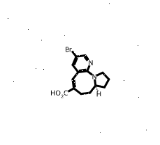 O=C(O)/C1=C/c2cc(Br)cnc2N2CCC[C@H]2CC1